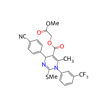 COC(=O)COC(=O)C1=C(C)N(c2cccc(C(F)(F)F)c2)C(SC)=NC1c1ccc(C#N)cc1